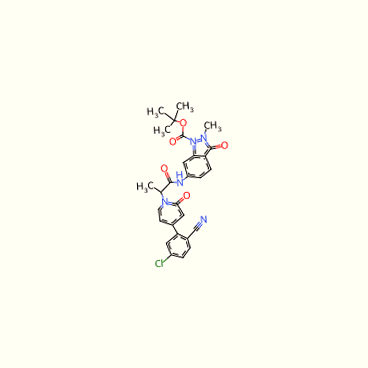 CC(C(=O)Nc1ccc2c(=O)n(C)n(C(=O)OC(C)(C)C)c2c1)n1ccc(-c2cc(Cl)ccc2C#N)cc1=O